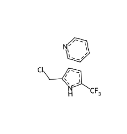 FC(F)(F)c1ccc(CCl)[nH]1.c1ccncc1